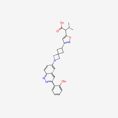 CC(C)C(C(=O)O)c1cc(C2CC3(C2)CN(c2ccc4nnc(-c5ccccc5O)cc4c2)C3)no1